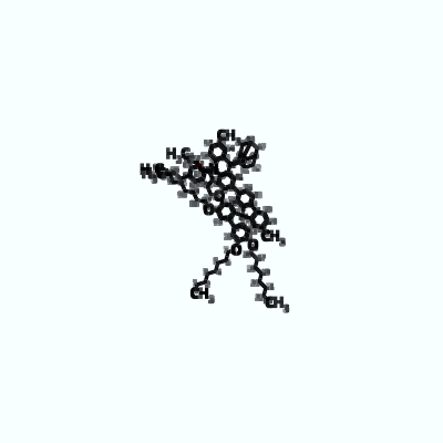 CCCCCCCCOc1cc2c(cc1OCCCCCCCC)C1(c3cc(C)ccc3-c3ccc(-c4ccc5c(c4)C(=C4C6CC7CC(C6)CC4C7)c4cc(C)ccc4N5c4ccc(CCCC)cc4)cc31)c1cc(OCCCCCCCC)c(OCCCCCCCC)cc1-2